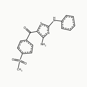 CS(=O)(=O)c1ccc(C(=O)c2sc(Nc3ccccc3)nc2N)cc1